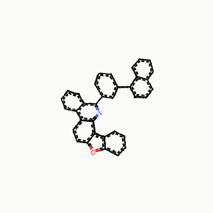 c1cc(-c2cccc3ccccc23)cc(-c2nc3c(ccc4oc5ccccc5c43)c3ccccc23)c1